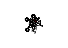 CC1=C(C(=O)OCc2ccccc2)C(c2cn(-c3ccccc3)nc2-c2ccc(F)cc2)C(C(O)OCc2ccccc2)=C(C)N1